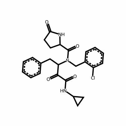 O=C1CCC(C(=O)N(Cc2ccccc2Cl)C(Cc2ccccc2)C(=O)C(=O)NC2CC2)N1